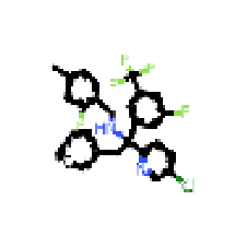 Cc1ccc(CNC(Cc2ccccc2)(c2cc(F)cc(C(F)(F)F)c2)c2ccc(Cl)cn2)c(F)c1